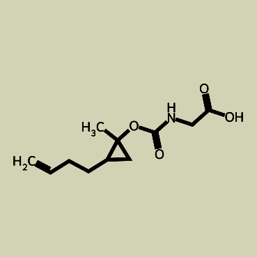 C=CCCC1CC1(C)OC(=O)NCC(=O)O